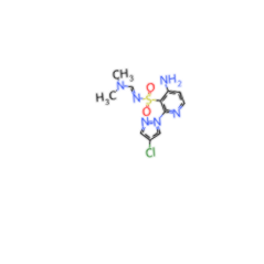 CN(C)C=NS(=O)(=O)c1c(N)ccnc1-n1cc(Cl)cn1